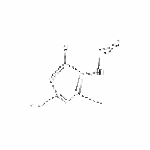 Cc1cc(Cl)cc(Cl)c1NC=O